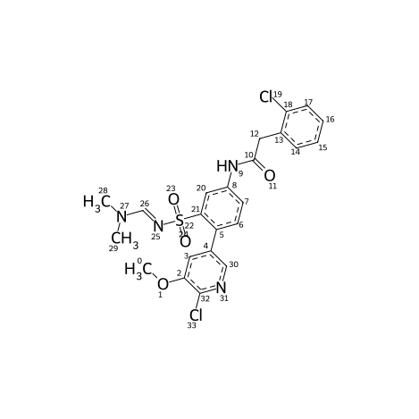 COc1cc(-c2ccc(NC(=O)Cc3ccccc3Cl)cc2S(=O)(=O)N=CN(C)C)cnc1Cl